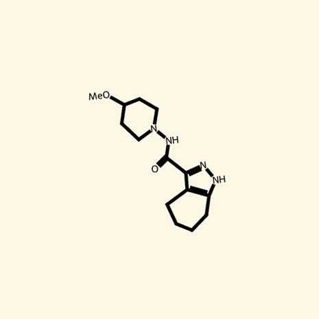 COC1CCN(NC(=O)c2n[nH]c3c2CCCC3)CC1